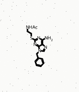 CC(=O)NCCSc1nc(N)c2ncn(Cc3ccccc3)c2n1